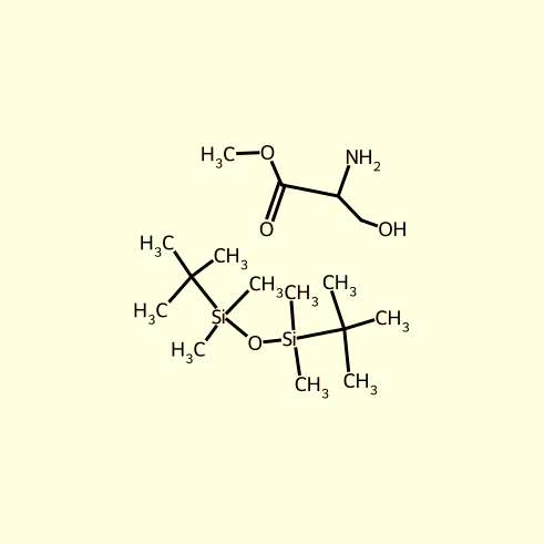 CC(C)(C)[Si](C)(C)O[Si](C)(C)C(C)(C)C.COC(=O)C(N)CO